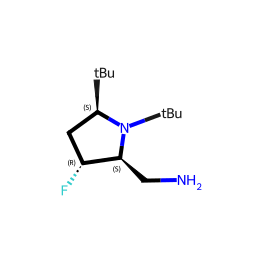 CC(C)(C)[C@@H]1C[C@@H](F)[C@H](CN)N1C(C)(C)C